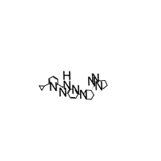 c1cc(-c2nc3ccc(N4CCC[C@@H](c5nnc6n5CCC6)C4)nc3[nH]2)nc(C2CC2)c1